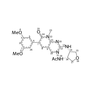 COc1cc(OC)cc(-c2cc3cnc(N[C@@H]4COC[C@@H]4NC(C)=O)nc3n(C)c2=O)c1